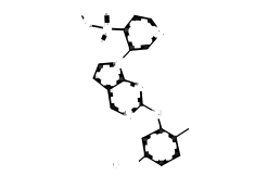 CCCNS(=O)(=O)c1ccncc1-n1ccc2cnc(Nc3cc(OC)ccc3C)nc21